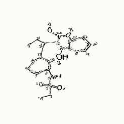 [CH2]CS(=O)(=O)Nc1cccc(C(CC)c2c(O)c3ccccc3oc2=O)c1